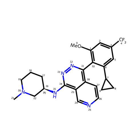 COc1cc(C(F)(F)F)cc(C2CC2)c1-c1nnc(N[C@@H]2CCCN(C)C2)c2cnccc12